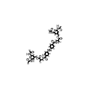 CC(=O)Nc1cc(COC(=O)C(C)CNC(=O)c2ccc(/N=N/c3ccc(C(=O)NCC(C)C(=O)OCc4cc(NC(C)=O)nc(NC(C)=O)c4)cc3)cc2)cc(NC(C)=O)n1